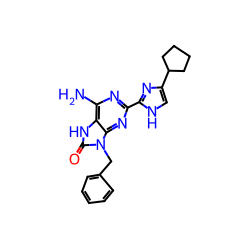 Nc1nc(-c2nc(C3CCCC3)c[nH]2)nc2c1[nH]c(=O)n2Cc1ccccc1